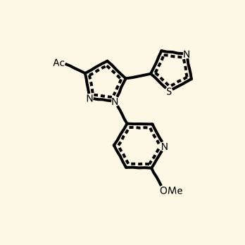 COc1ccc(-n2nc(C(C)=O)cc2-c2cncs2)cn1